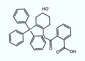 O=C(O)c1ccccc1C(=O)OC1=C([P+](c2ccccc2)(c2ccccc2)c2ccccc2)CCCC1.[OH-]